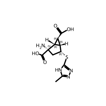 Cc1nnc(S[C@@H]2C[C@@](N)(C(=O)O)[C@@H]3[C@@H](C(=O)O)[C@@H]32)[nH]1